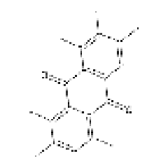 Cc1cc2c(c(C)c1C)C(=O)c1c(C)c(C)cc(C)c1C2=O